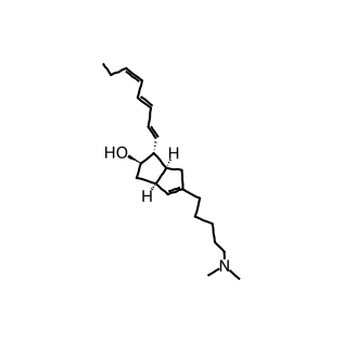 CC\C=C/C=C/C=C/[C@@H]1[C@H]2CC(CCCCCN(C)C)=C[C@H]2C[C@H]1O